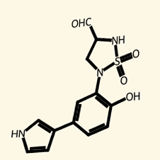 O=CC1CN(c2cc(-c3cc[nH]c3)ccc2O)S(=O)(=O)N1